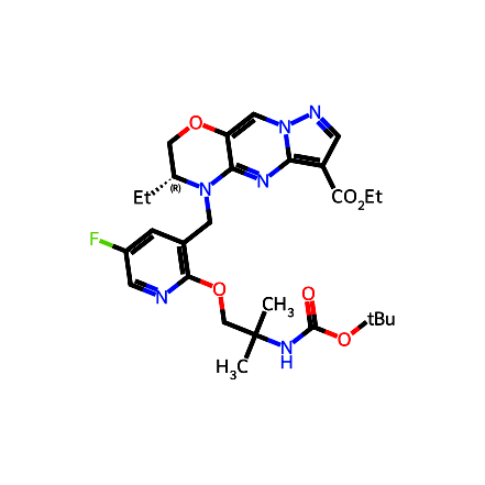 CCOC(=O)c1cnn2cc3c(nc12)N(Cc1cc(F)cnc1OCC(C)(C)NC(=O)OC(C)(C)C)[C@H](CC)CO3